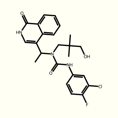 CC(c1c[nH]c(=O)c2ccccc12)N(CC(C)(C)CO)C(=O)Nc1ccc(F)c(Cl)c1